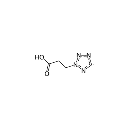 O=C(O)CCn1n[c]nn1